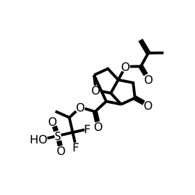 C=C(C)C(=O)OC12CC(=O)C3C(C(=O)OC(C)C(F)(F)S(=O)(=O)O)C(C1)OC32